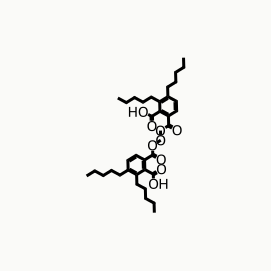 CCCCCc1ccc(C(=O)OOOC(=O)c2ccc(CCCCC)c(CCCCC)c2C(=O)O)c(C(=O)O)c1CCCCC